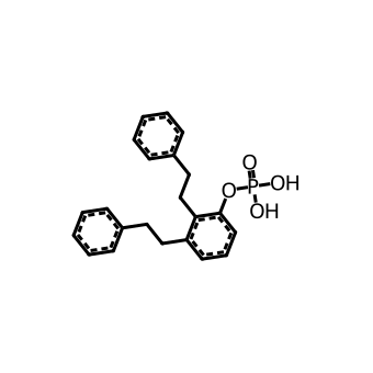 O=P(O)(O)Oc1cccc(CCc2ccccc2)c1CCc1ccccc1